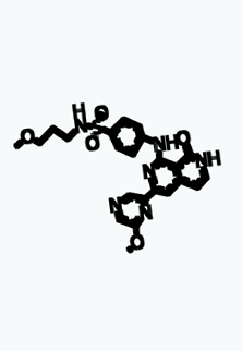 COCCCNS(=O)(=O)c1ccc(Nc2nc(-c3cncc(OC)n3)cc3cc[nH]c(=O)c23)cc1